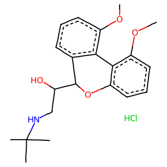 COc1cccc2c1-c1c(OC)cccc1C(C(O)CNC(C)(C)C)O2.Cl